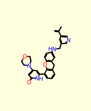 C=C(C)c1cncc(CNc2ccc3c(c2)Cc2cccc(-c4cc(N5CCOCC5)cc(=O)[nH]4)c2O3)c1